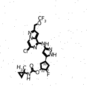 CC1(NC(=O)O[C@H]2C[C@@H](c3cc(Nc4nc(Cl)cn5nc(COC(F)(F)F)cc45)n[nH]3)C[C@H]2F)CC1